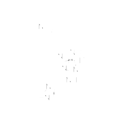 Cl.NCC1CCC(CNc2nc(NCCc3c[nH]cn3)ncc2[N+](=O)[O-])CC1